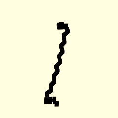 CC(C)(C)CCCCCCCCCCCCCCN